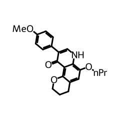 CCCOc1cc2c(c3c(=O)c(-c4ccc(OC)cc4)c[nH]c13)OCCC2